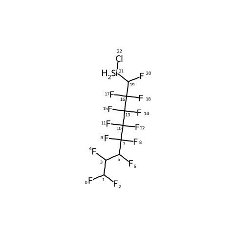 FC(F)C(F)C(F)C(F)(F)C(F)(F)C(F)(F)C(F)(F)C(F)[SiH2]Cl